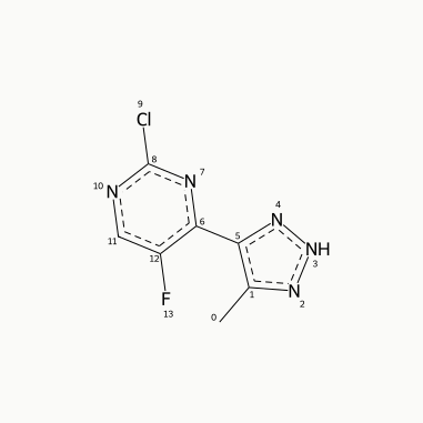 Cc1n[nH]nc1-c1nc(Cl)ncc1F